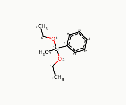 CCO[Si](C)(OCC)c1[c]cccc1